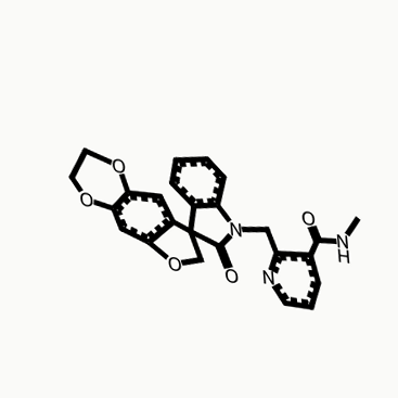 CNC(=O)c1cccnc1CN1C(=O)C2(COc3cc4c(cc32)OCCO4)c2ccccc21